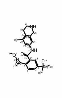 CON1N=C1c1ccc(C(F)(F)F)cc1C(=O)Nc1cc(I)c2c(c1)CNCC2